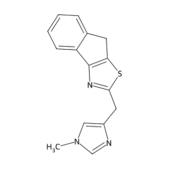 Cn1cnc(Cc2nc3c(s2)Cc2ccccc2-3)c1